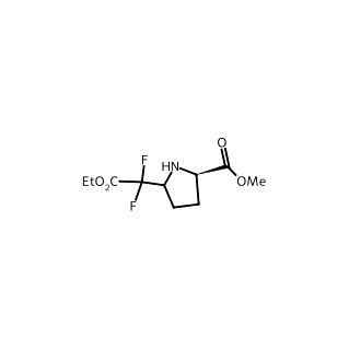 CCOC(=O)C(F)(F)C1CC[C@H](C(=O)OC)N1